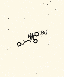 C/C(=C\C=C(/C)c1nnc(-c2ccc(C(C)(C)C)cc2)n1-c1ccccc1)Cc1ccccc1